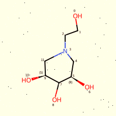 OCCN1C[C@@H](O)C(O)[C@@H](O)C1